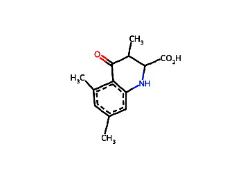 Cc1cc(C)c2c(c1)NC(C(=O)O)C(C)C2=O